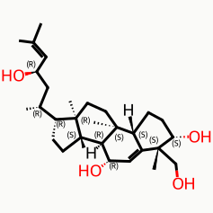 CC(C)=C[C@H](O)C[C@@H](C)[C@H]1CC[C@@]2(C)[C@@H]3[C@@H](O)C=C4[C@@H](CC[C@H](O)[C@]4(C)CO)[C@]3(C)CC[C@]12C